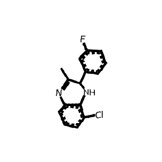 CC1=Nc2cccc(Cl)c2NC1c1cccc(F)c1